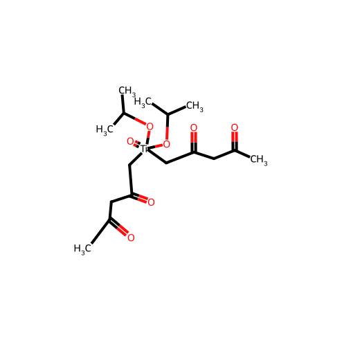 CC(=O)CC(=O)[CH2][Ti](=[O])([CH2]C(=O)CC(C)=O)([O]C(C)C)[O]C(C)C